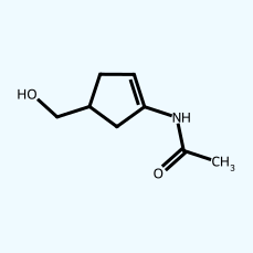 CC(=O)NC1=CCC(CO)C1